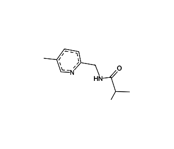 Cc1ccc(CNC(=O)C(C)C)nc1